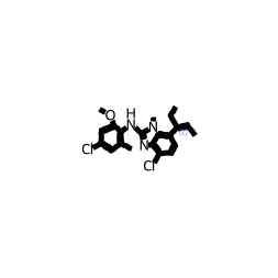 C/C=C(/CC)c1ccc(Cl)c2nc(Nc3c(C)cc(Cl)cc3OC)n(C)c12